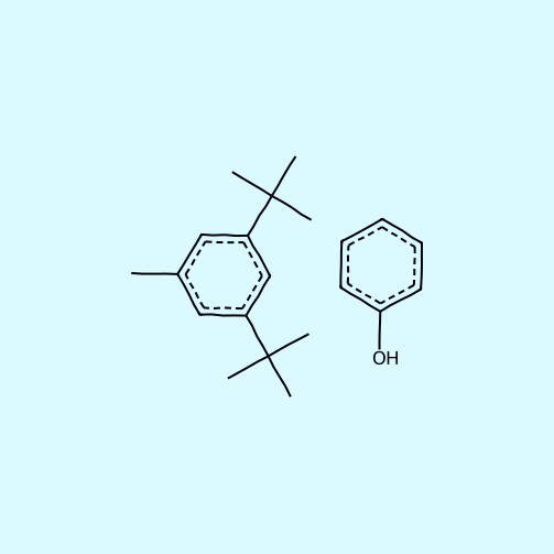 Cc1cc(C(C)(C)C)cc(C(C)(C)C)c1.Oc1ccccc1